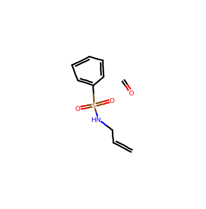 C=CCNS(=O)(=O)c1ccccc1.C=O